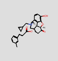 Cc1cccc(CCC(=O)O[C@@]23CCC(=O)[C@@H]4Oc5c(O)ccc6c5[C@@]42CCN(CC2CC2)C3C6)c1